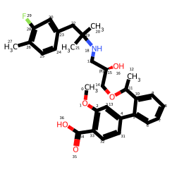 COc1cc(-c2ccccc2C(C)OC[C@H](O)CNC(C)(C)Cc2ccc(C)c(F)c2)ccc1C(=O)O